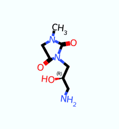 CN1CC(=O)N(C[C@H](O)CN)C1=O